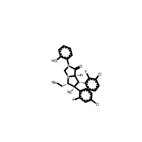 CC(C)(C)C[C@@H]1N2CN(c3ccccc3O)C(=O)[C@H]2[C@H](c2cccc(Cl)c2F)[C@@]1(C#N)c1ccc(Cl)cc1F